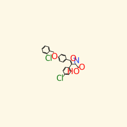 O=C(O)c1noc(-c2ccc(OCc3ccccc3Cl)cc2)c1-c1ccc(Cl)cc1